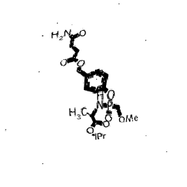 COCP(=O)(N[C@@H](C)C(=O)OC(C)C)Oc1ccc(COC(=O)CCC(N)=O)cc1